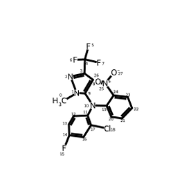 Cn1nc(C(F)(F)F)cc1N(c1ccc(F)cc1Cl)c1ccccc1[N+](=O)[O-]